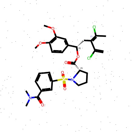 C=C(Cl)/C(C[C@H](OC(=O)[C@@H]1CCCN1S(=O)(=O)c1cccc(C(=O)N(C)C)c1)c1ccc(OC)c(OC)c1)=C(\C)Cl